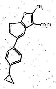 CCOC(=O)c1c(C)oc2ccc(-c3ccc(C4CC4)cc3)cc12